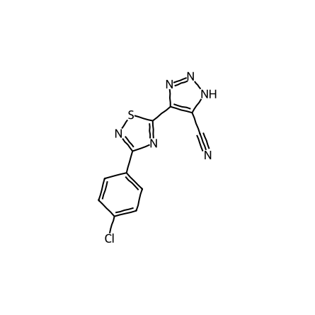 N#Cc1[nH]nnc1-c1nc(-c2ccc(Cl)cc2)ns1